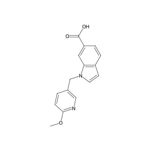 COc1ccc(Cn2ccc3ccc(C(=O)O)cc32)cn1